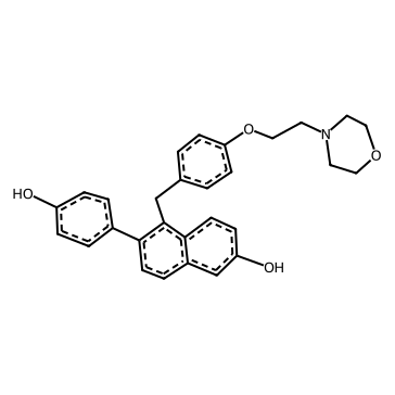 Oc1ccc(-c2ccc3cc(O)ccc3c2Cc2ccc(OCCN3CCOCC3)cc2)cc1